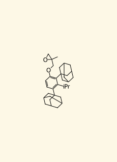 CC(C)c1c(C23CC4CC(CC(C4)C2)C3)ccc(OCC2(C)CO2)c1C12CC3CC(CC(C3)C1)C2